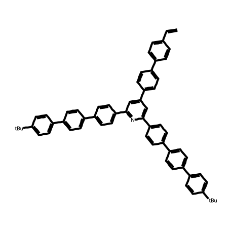 C=Cc1ccc(-c2ccc(-c3cc(-c4ccc(-c5ccc(-c6ccc(C(C)(C)C)cc6)cc5)cc4)nc(-c4ccc(-c5ccc(-c6ccc(C(C)(C)C)cc6)cc5)cc4)c3)cc2)cc1